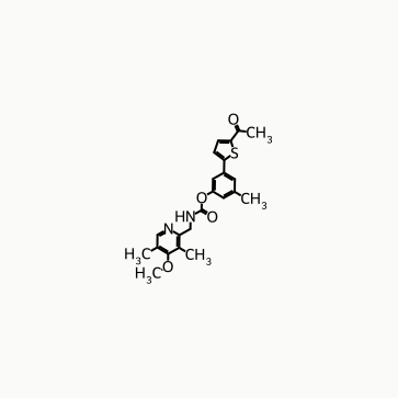 COc1c(C)cnc(CNC(=O)Oc2cc(C)cc(-c3ccc(C(C)=O)s3)c2)c1C